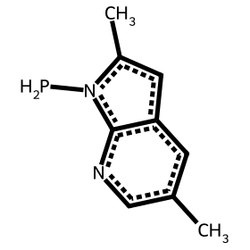 Cc1cnc2c(c1)cc(C)n2P